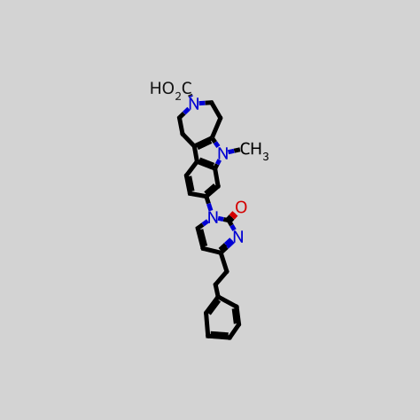 Cn1c2c(c3ccc(-n4ccc(CCc5ccccc5)nc4=O)cc31)CCN(C(=O)O)CC2